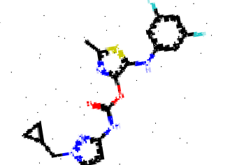 Cc1nc(OC(=O)Nc2ccn(CC3CC3)n2)c(Nc2cc(F)cc(F)c2)s1